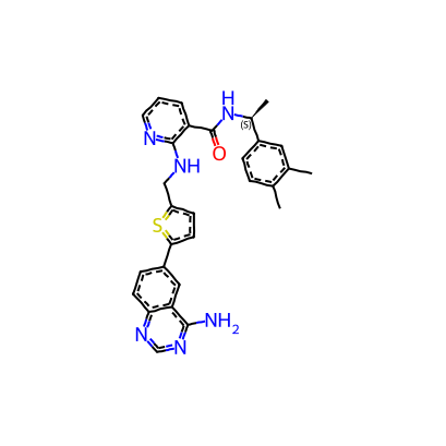 Cc1ccc([C@H](C)NC(=O)c2cccnc2NCc2ccc(-c3ccc4ncnc(N)c4c3)s2)cc1C